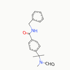 CN(C=O)C(C)(C)c1ccc(C(=O)NCc2ccccc2)cc1